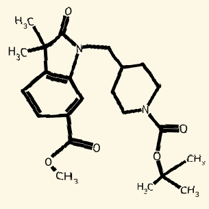 COC(=O)c1ccc2c(c1)N(CC1CCN(C(=O)OC(C)(C)C)CC1)C(=O)C2(C)C